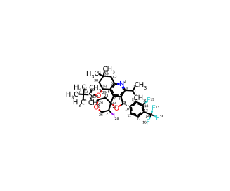 CC(C)c1nc2c(c3c1[C@H](c1ccc(C(F)(F)F)c(F)c1)OC31CCOCC1I)[C@@H](O[Si](C)(C)C(C)(C)C)CC(C)(C)C2